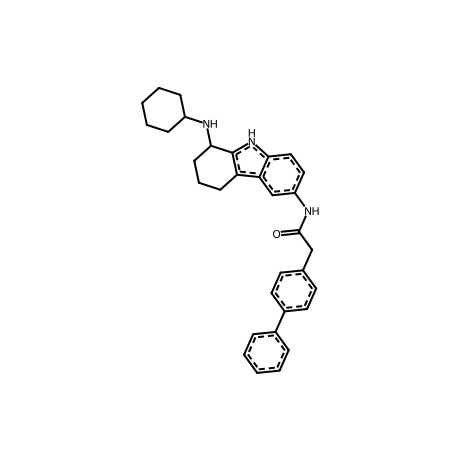 O=C(Cc1ccc(-c2ccccc2)cc1)Nc1ccc2[nH]c3c(c2c1)CCCC3NC1CCCCC1